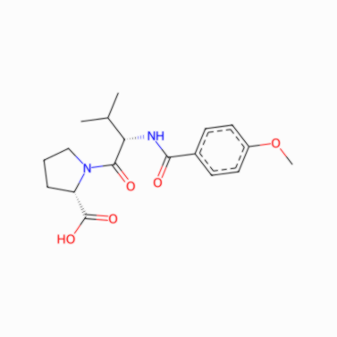 COc1ccc(C(=O)N[C@H](C(=O)N2CCC[C@H]2C(=O)O)C(C)C)cc1